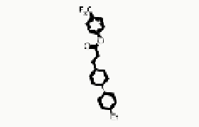 CC[C@H]1CC[C@H](C2CCC(CCC(=O)Oc3ccc(C(F)(F)F)cc3)CC2)CC1